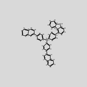 c1ccc2cc(-c3ccc(N(c4ccc(-c5ccc6ccccc6c5)cc4)c4ccc(-c5cccc6sc7ccccc7c56)cc4)cc3)ccc2c1